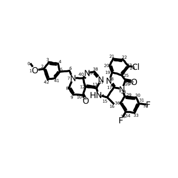 COc1ccc(Cn2ccc(=O)c3c(NC(C)c4nc5cccc(Cl)c5c(=O)n4-c4cc(F)cc(F)c4)ncnc32)cc1